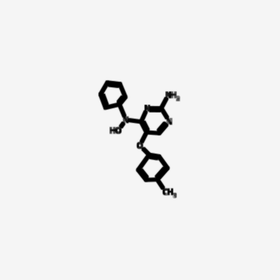 Cc1ccc(Oc2cnc(N)nc2N(O)c2ccccc2)cc1